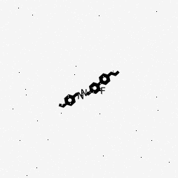 CCCc1ccc(-c2ccc(C=NN=Cc3ccc(CC)cc3)cc2F)cc1